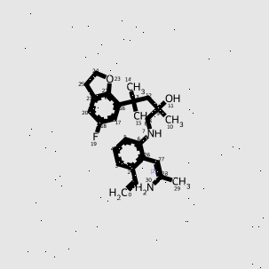 C=Cc1cccc(NCC(C)(O)CC(C)(C)c2cc(F)cc3c2OCC3)c1/C=C(/C)N